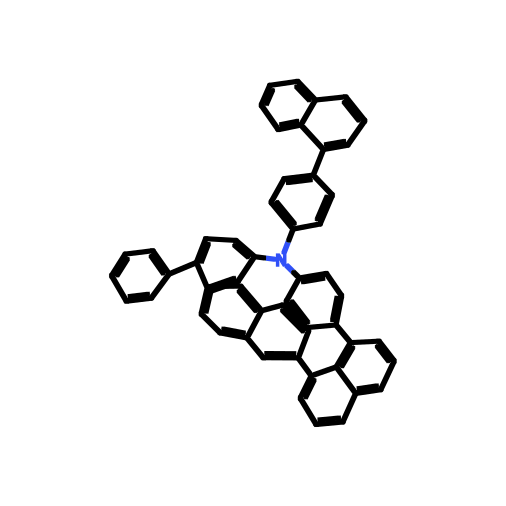 c1ccc(-c2ccc(N(c3ccc(-c4cccc5ccccc45)cc3)c3ccc(-c4cccc5cccc(-c6ccc7ccccc7c6)c45)cc3)cc2)cc1